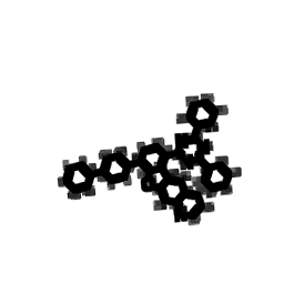 c1ccc(-c2ccc(-c3ccc(-c4nc(-c5ccccc5)nc(-c5ccccc5)n4)c4c3oc3cc5ncccc5cc34)cc2)cc1